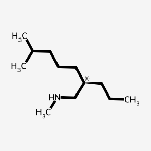 CCC[C@H](CCCC(C)C)CNC